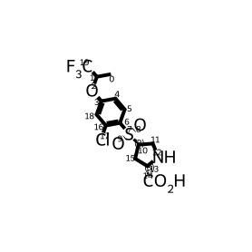 CC(Oc1ccc(S(=O)(=O)[C@H]2CN[C@H](C(=O)O)C2)c(Cl)c1)C(F)(F)F